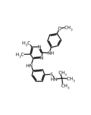 COc1ccc(Nc2nc(C)c(C)c(Nc3cccc(SNC(C)(C)C)c3)n2)cc1